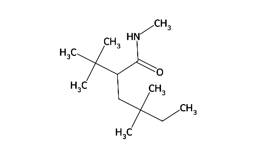 CCC(C)(C)CC(C(=O)NC)C(C)(C)C